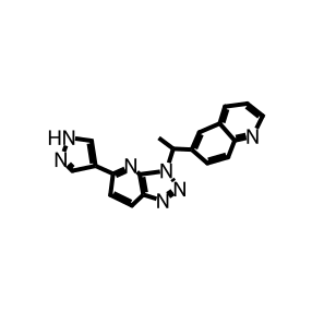 CC(c1ccc2ncccc2c1)n1nnc2ccc(-c3cn[nH]c3)nc21